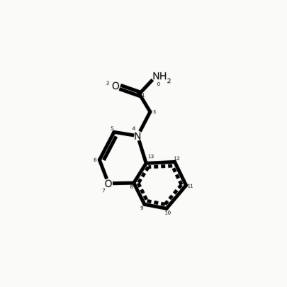 NC(=O)CN1C=COc2ccccc21